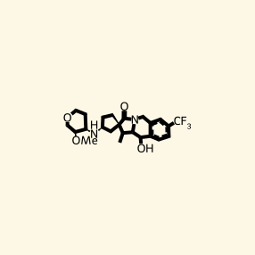 CO[C@@H]1COCC[C@@H]1N[C@@H]1CC[C@@]2(C1)C(=O)N1Cc3cc(C(F)(F)F)ccc3C(O)C1C2C